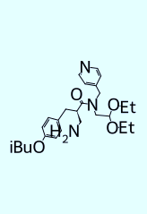 CCOC(CN(Cc1ccncc1)C(=O)[C@@H](CN)Cc1ccc(OCC(C)C)cc1)OCC